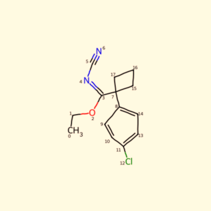 CCO/C(=N/C#N)C1(c2ccc(Cl)cc2)CCC1